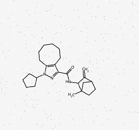 C=C1C2CCC(C)(C2)C1NC(=O)c1nn(C2CCCC2)c2c1CCCCCC2